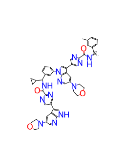 Cc1cccc([C@H](C)NC(=O)c2ncc(-c3cn(-c4cccc(C(NC(=O)c5ncc(-c6c[nH]c7ncc(N8CCOCC8)cc67)cn5)C5CC5)c4)c4ncc(N5CCOCC5)cc34)cn2)c1